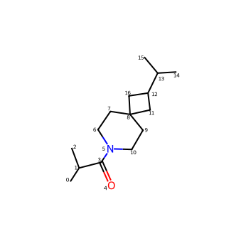 CC(C)C(=O)N1CCC2(CC1)CC(C(C)C)C2